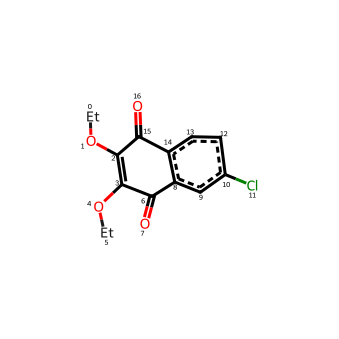 CCOC1=C(OCC)C(=O)c2cc(Cl)ccc2C1=O